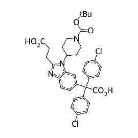 CC(C)(C)OC(=O)N1CCC(n2c(CCC(=O)O)nc3ccc(C(C(=O)O)(c4ccc(Cl)cc4)c4ccc(Cl)cc4)cc32)CC1